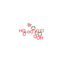 O=c1cc(-c2ccc(Br)cc2O[C@H]2C[C@H](C(=O)O)C2)oc2c(Cl)ccc(O)c12